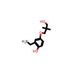 BCc1cc(OCC(C)(C)CO)ccc1O